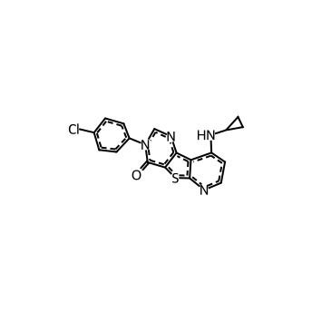 O=c1c2sc3nccc(NC4CC4)c3c2ncn1-c1ccc(Cl)cc1